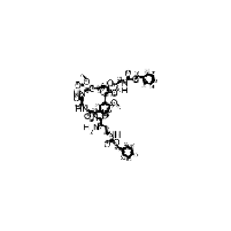 COC(=O)[C@@H]1Cc2cc(OCCNC(=O)OCc3ccccc3)c(OC)c(c2)-c2cc(ccc2OC)[C@H](N(C)C(=O)[C@@H](N)CCNC(=O)OCc2ccccc2)C(=O)N[C@@H](C)C(=O)N1